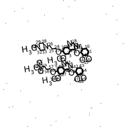 COc1cc2c(Oc3c(Br)ccc4c3OCO4)ncnc2cc1OCCCN1CCN(C)CC1.COc1cc2c(Oc3cccc4c3OCO4)ncnc2cc1OCCCS(C)(=O)=O